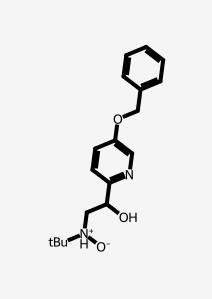 CC(C)(C)[NH+]([O-])CC(O)c1ccc(OCc2ccccc2)cn1